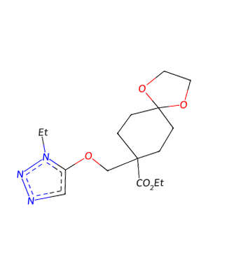 CCOC(=O)C1(COc2cnnn2CC)CCC2(CC1)OCCO2